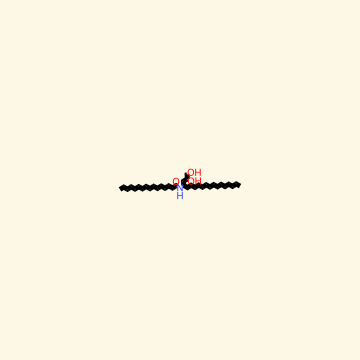 CCCCCCCCCCCCCCCC(=O)NC(CCCCCCCCCCCCCCC)CC(O)CO